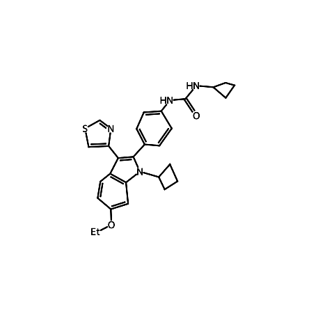 CCOc1ccc2c(-c3cscn3)c(-c3ccc(NC(=O)NC4CCC4)cc3)n(C3CCC3)c2c1